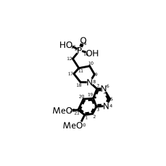 COc1cc2ncnc(N3CCC(CP(=O)(O)O)CC3)c2cc1OC